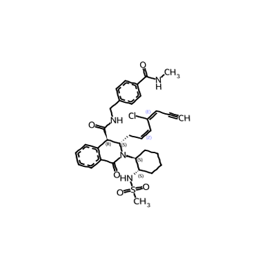 C#C/C=C(Cl)\C=C/C[C@H]1[C@H](C(=O)NCc2ccc(C(=O)NC)cc2)c2ccccc2C(=O)N1[C@H]1CCCC[C@@H]1NS(C)(=O)=O